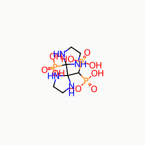 O=P(O)(O)C(C1(C2(P(=O)(O)O)NCCN2)NCCN1)P(=O)(O)O